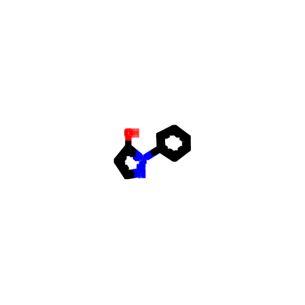 Oc1ccnn1-c1ccccc1